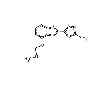 COCOc1cccc2sc(-c3nnc(C)o3)cc12